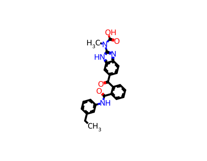 CCc1cccc(NC(=O)c2ccccc2C(=O)c2ccc3nc(N(C)C(=O)O)[nH]c3c2)c1